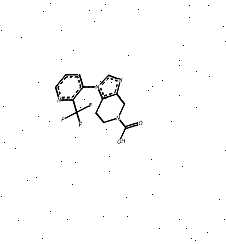 O=C(O)N1CCc2c(ncn2-c2cccnc2C(F)(F)F)C1